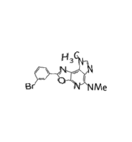 CNc1nc2oc(-c3cccc(Br)c3)nc2c2c1ncn2C